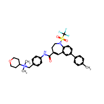 Cc1ccc(-c2ccc3c(c2)C=C(C(=O)Nc2ccc(C[N+](C)(C)C4CCOCC4)cc2)CCN3S(=O)(=O)C(F)(F)F)cc1